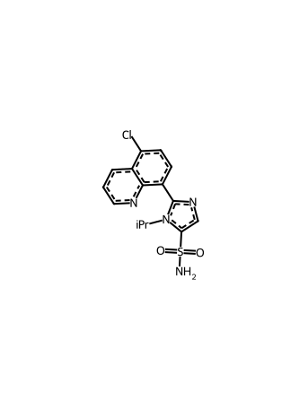 CC(C)n1c(S(N)(=O)=O)cnc1-c1ccc(Cl)c2cccnc12